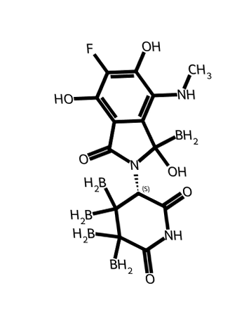 BC1(O)c2c(NC)c(O)c(F)c(O)c2C(=O)N1[C@@H]1C(=O)NC(=O)C(B)(B)C1(B)B